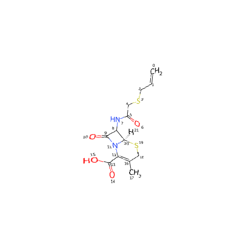 C=CCSCC(=O)NC1C(=O)N2C(C(=O)O)=C(C)CS[C@H]12